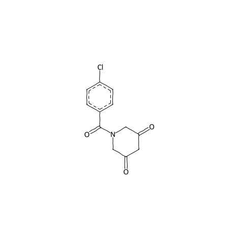 O=C1CC(=O)CN(C(=O)c2ccc(Cl)cc2)C1